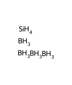 B.B.B.B.[SiH4]